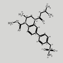 COC(=O)N1c2ccc(-c3ccc(CS(N)(=O)=O)cc3)cc2N(C(=O)CC(C)C)C[C@@H]1C